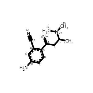 CC(CC(=N)c1ccc(N)cc1C#N)N(C)C